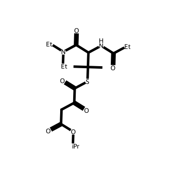 CCC(=O)NC(C(=O)N(CC)CC)C(C)(C)SC(=O)C(=O)CC(=O)OC(C)C